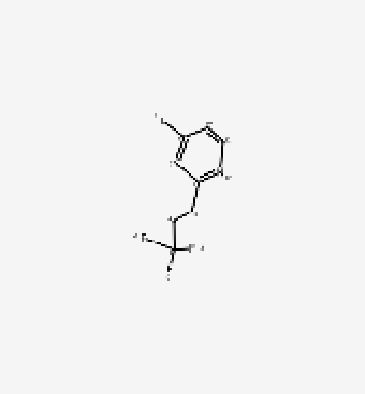 FC(F)(F)CCc1cc(I)ccn1